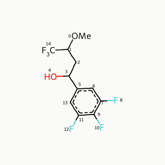 COC(CC(O)c1cc(F)c(F)c(F)c1)C(F)(F)F